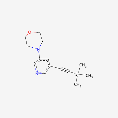 C[Si](C)(C)C#Cc1cncc(N2CCOCC2)c1